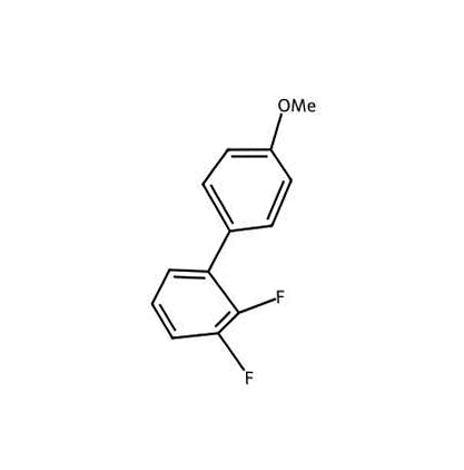 COc1ccc(-c2cccc(F)c2F)cc1